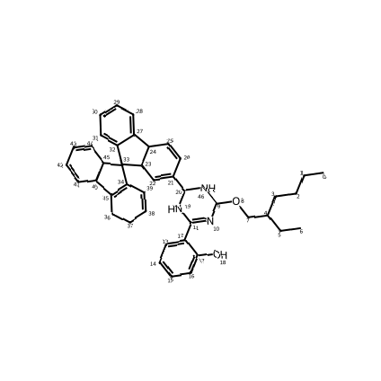 CCCCC(CC)COC1N=C(c2ccccc2O)NC(C2=CC3C(C=C2)c2ccccc2C32C3=C(CCC=C3)C3C=CC=CC32)N1